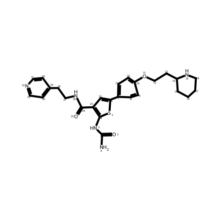 NC(=O)Nc1sc(-c2ccc(OCCC3CCCCN3)cc2)cc1C(=O)NCCc1ccncc1